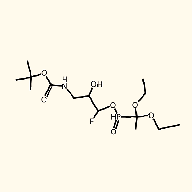 CCOC(C)(OCC)[PH](=O)OC(F)C(O)CNC(=O)OC(C)(C)C